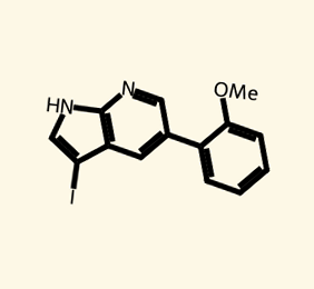 COc1ccccc1-c1cnc2[nH]cc(I)c2c1